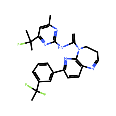 C=C(Nc1nc(C)cc(C(C)(C)F)n1)N1CCC=Nc2ccc(-c3cccc(C(C)(F)F)c3)nc21